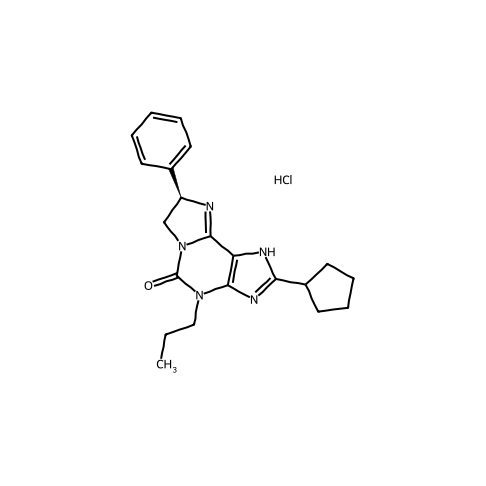 CCCN1C(=O)N2C[C@@H](c3ccccc3)N=C2c2[nH]c(C3CCCC3)nc21.Cl